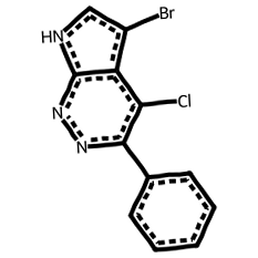 Clc1c(-c2ccccc2)nnc2[nH]cc(Br)c12